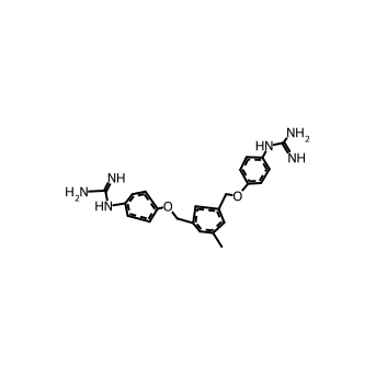 Cc1cc(COc2ccc(NC(=N)N)cc2)cc(COc2ccc(NC(=N)N)cc2)c1